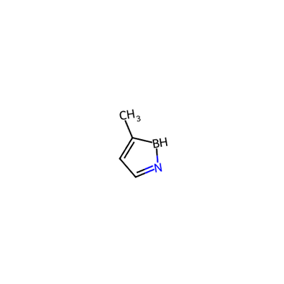 CC1=CC=NB1